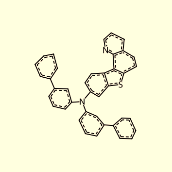 c1ccc(-c2cccc(N(c3cccc(-c4ccccc4)c3)c3ccc4c(c3)sc3ccc5cccnc5c34)c2)cc1